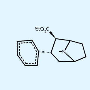 CCOC(=O)[C@H]1C2CCC(C[C@@H]1c1ccccc1)N2C